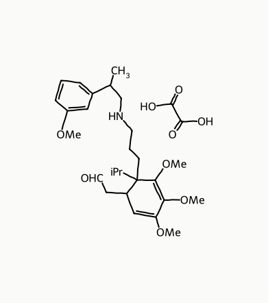 COC1=CC(CC=O)C(CCCNCC(C)c2cccc(OC)c2)(C(C)C)C(OC)=C1OC.O=C(O)C(=O)O